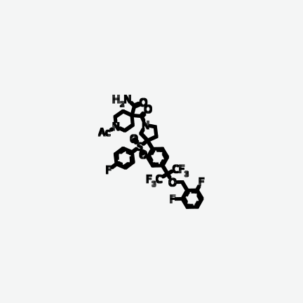 CC(=O)N1CCC(C(N)=O)(C(=O)N2CCC(c3ccc(C(OCc4c(F)cccc4F)(C(F)(F)F)C(F)(F)F)cc3)(S(=O)(=O)c3ccc(F)cc3)C2)CC1